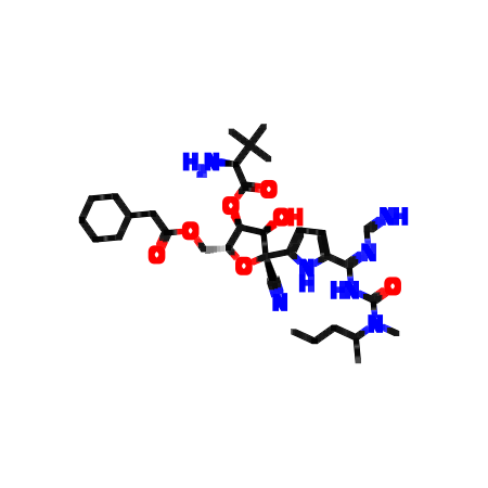 CCCC(C)N(C)C(=O)N/C(=N/C=N)c1ccc([C@]2(C#N)O[C@H](COC(=O)CC3CCCCC3)[C@@H](OC(=O)[C@@H](N)C(C)(C)C)[C@H]2O)[nH]1